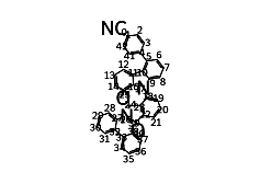 N#Cc1ccc(-c2cccc3c2c2ccccc2n3-c2cccc3c2C(=O)N(c2ccccc2-c2ccccc2)C3=O)cc1